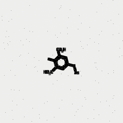 CC(=O)Sc1cc(C(=O)O)c(C)c(C(=O)O)c1